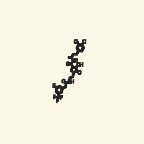 CC(CCc1ccc(Cl)c(Cl)c1)NC(=O)C1=C(O)C(=O)N(CCNC(=O)Cc2cc(F)cc(C(F)(F)F)c2)C1